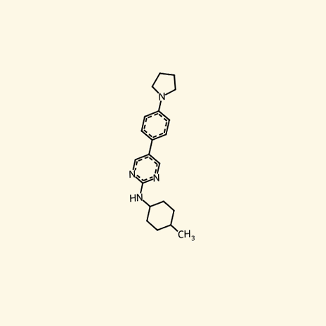 CC1CCC(Nc2ncc(-c3ccc(N4CCCC4)cc3)cn2)CC1